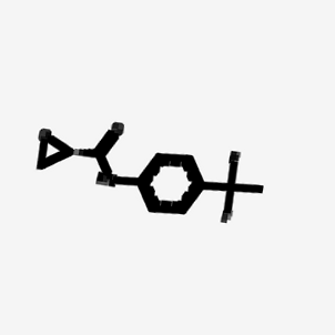 CC(F)(F)c1ccc(NC(=O)[C@@H]2CO2)cc1